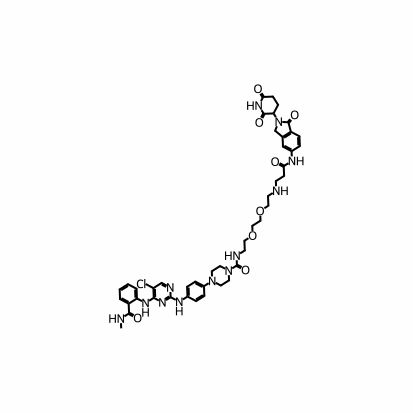 CNC(=O)c1ccccc1Nc1nc(Nc2ccc(N3CCN(C(=O)NCCOCCOCCNCCC(=O)Nc4ccc5c(c4)CN(C4CCC(=O)NC4=O)C5=O)CC3)cc2)ncc1Cl